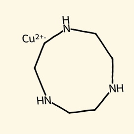 C1CNCCNCCN1.[Cu+2]